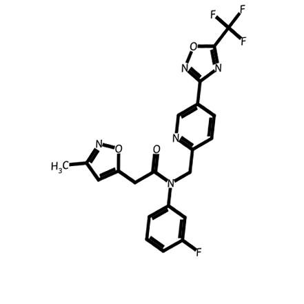 Cc1cc(CC(=O)N(Cc2ccc(-c3noc(C(F)(F)F)n3)cn2)c2cccc(F)c2)on1